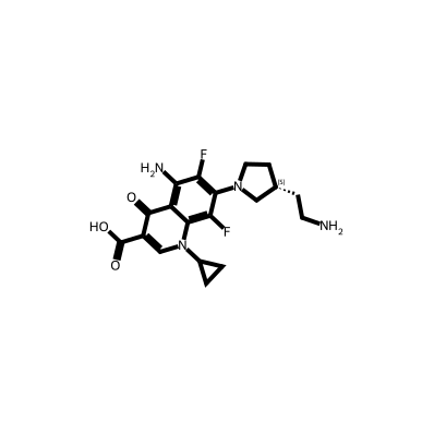 NCC[C@H]1CCN(c2c(F)c(N)c3c(=O)c(C(=O)O)cn(C4CC4)c3c2F)C1